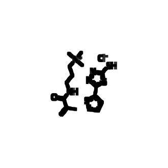 C=C(C)C(=O)NCCC[N+](C)(C)C.Sc1nnc(-c2cccs2)s1.[Cl-]